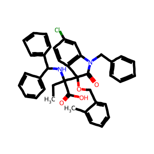 CCC(NC(c1ccccc1)c1ccccc1)(C(=O)O)C1(OCc2ccccc2C)C(=O)N(Cc2ccccc2)c2cc(Cl)ccc21